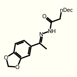 CCCCCCCCCCCC(=O)N/N=C(\C)c1ccc2c(c1)OCO2